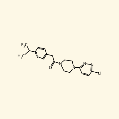 CC(c1ccc(CC(=O)N2CCN(c3ccc(Cl)nn3)CC2)cn1)C(F)(F)F